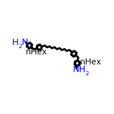 CCCCCCc1cc(N)ccc1Cc1ccc(CCCCCCCCCCCc2ccc(Cc3ccc(N)cc3CCCCCC)cc2)cc1